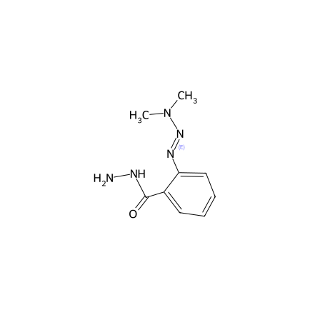 CN(C)/N=N/c1ccccc1C(=O)NN